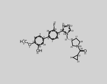 COc1ccc(-c2ccc(-c3nncn3C[C@@H]3CCN(C(=O)C4CC4)C3)c(F)c2)cc1O